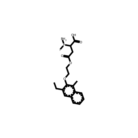 BP(I)C(CC(=O)OCCOc1c(CC)cc2ccccc2c1C)C(=O)O